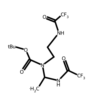 [CH2]C(NC(=O)C(F)(F)F)N(CCNC(=O)C(F)(F)F)C(=O)OC(C)(C)C